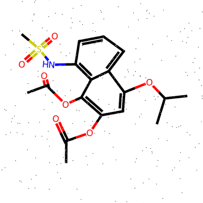 CC(=O)Oc1cc(OC(C)C)c2cccc(NS(C)(=O)=O)c2c1OC(C)=O